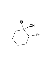 CC[C]1CCCCC1(O)CC